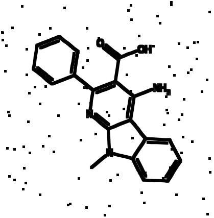 Cn1c2ccccc2c2c(N)c(C(=O)O)c(-c3ccccc3)nc21